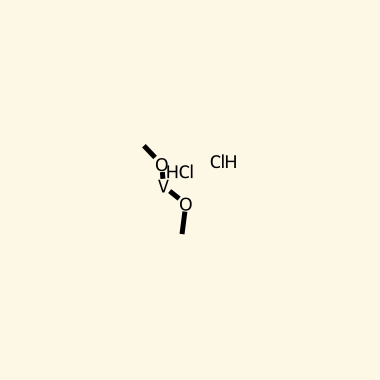 C[O][V][O]C.Cl.Cl